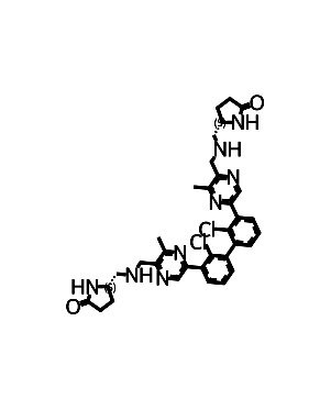 Cc1nc(-c2cccc(-c3cccc(-c4cnc(CNC[C@@H]5CCC(=O)N5)c(C)n4)c3Cl)c2Cl)cnc1CNC[C@@H]1CCC(=O)N1